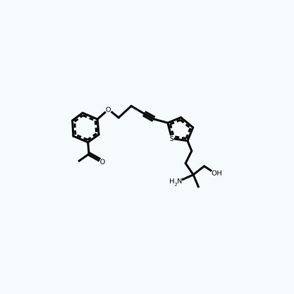 CC(=O)c1cccc(OCCC#Cc2ccc(CCC(C)(N)CO)s2)c1